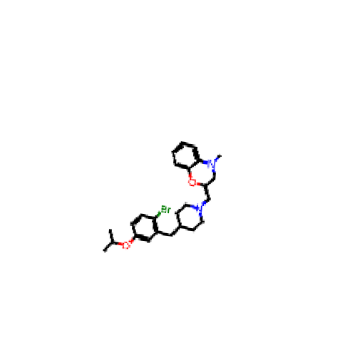 CC(C)Oc1ccc(Br)c(CC2CCN(CC3CN(C)c4ccccc4O3)CC2)c1